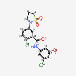 O=C(Nc1cc(Cl)cc(Br)c1)c1cc(N2CCCS2(=O)=O)ccc1Cl